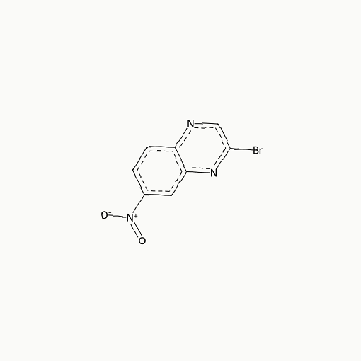 O=[N+]([O-])c1ccc2ncc(Br)nc2c1